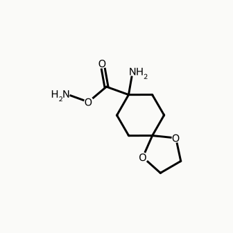 NOC(=O)C1(N)CCC2(CC1)OCCO2